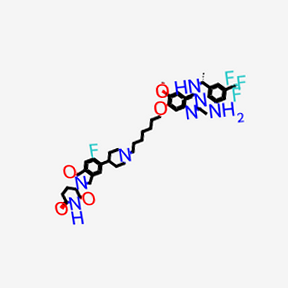 COc1cc2c(N[C@H](C)c3cc(N)cc(C(F)(F)F)c3)nc(C)nc2cc1OCCCCCCCN1CCC(c2cc3c(cc2F)C(=O)N(C2CCC(=O)NC2=O)C3)CC1